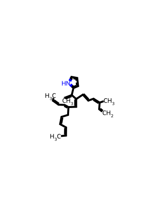 C=C\C(C)=C/C=C/C(=C/C(=C/C=C\C)C/C=C\C=C/C)C(=C\C)/c1ccc[nH]1